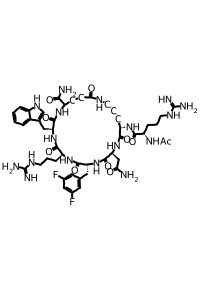 CC(=O)N[C@@H](CCCNC(=N)N)C(=O)N[C@H]1CCCNC(=O)CCC(C(N)=O)NC(=O)[C@H](Cc2c[nH]c3ccccc23)NC(=O)[C@H](CCCNC(=N)N)NC(=O)[C@@H](Cc2cc(F)cc(F)c2)NC(=O)[C@H](CC(N)=O)NC1=O